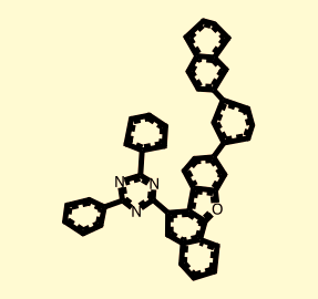 c1ccc(-c2nc(-c3ccccc3)nc(-c3cc4ccccc4c4oc5cc(-c6cccc(-c7ccc8ccccc8c7)c6)ccc5c34)n2)cc1